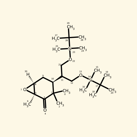 CC1(C)C(=O)[C@@]2(C)O[C@H]2C[C@H]1C(CO[Si](C)(C)C(C)(C)C)CO[Si](C)(C)C(C)(C)C